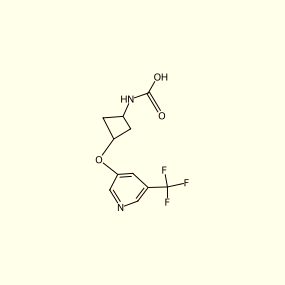 O=C(O)NC1CC(Oc2cncc(C(F)(F)F)c2)C1